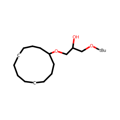 CC(C)(C)OCC(O)COC1CCCCCCCCCCC1